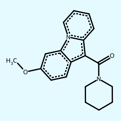 COc1ccc2c(C(=O)N3CCCCC3)c3ccccn3c2c1